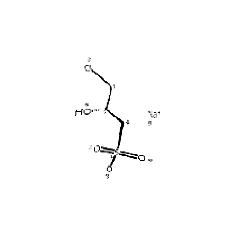 O=S(=O)([O-])C[C@H](O)CCl.[Na+]